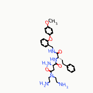 COc1ccc(Oc2ccccc2CNC(=O)[C@H](CCc2ccccc2)NC(=O)[C@@H](N)CC(=O)N(CCN)CCN)cc1